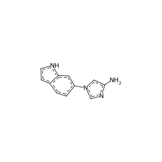 Nc1cn(-c2ccc3cc[nH]c3c2)cn1